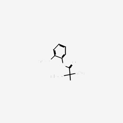 CCCCCCCCc1ccccc1OC(=O)C(C)(CCCC)CCCCCC